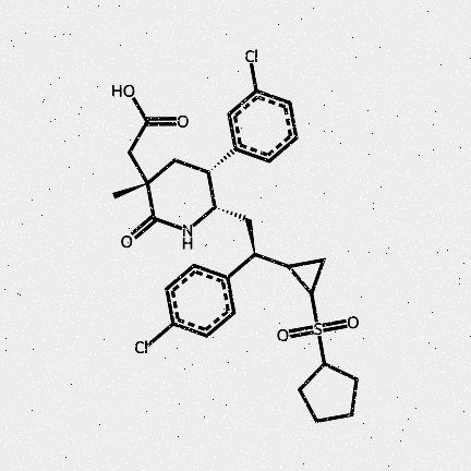 C[C@@]1(CC(=O)O)C[C@H](c2cccc(Cl)c2)[C@H](C[C@H](c2ccc(Cl)cc2)C2CC2S(=O)(=O)C2CCCC2)NC1=O